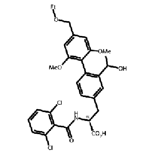 CCOCc1cc(OC)c(-c2ccc(C[C@H](NC(=O)c3c(Cl)cccc3Cl)C(=O)O)cc2C(C)O)c(OC)c1